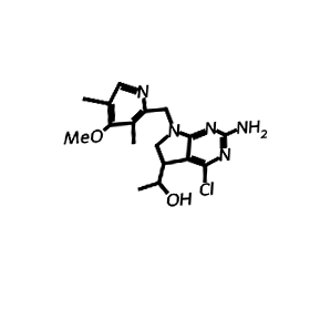 COc1c(C)cnc(CN2CC(C(C)O)c3c(Cl)nc(N)nc32)c1C